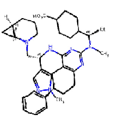 CC[C@H](C1CCC(C(=O)O)CC1)N(C)c1nc2c(c(N[C@@H](CN3CCC[C@@H]4C[C@@H]43)c3cnn(C)c3)n1)C[C@H](c1ccccc1)CC2